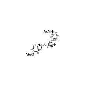 COc1ccc2[nH]c(CCn3cc(-c4cccc(NC(C)=O)c4)nn3)cc2c1